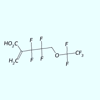 C=C(C(=O)O)C(F)(F)C(F)(F)COC(F)(F)C(F)(F)F